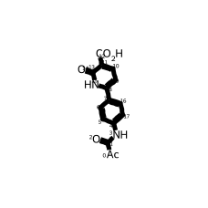 CC(=O)C(=O)Nc1ccc(-c2ccc(C(=O)O)c(=O)[nH]2)cc1